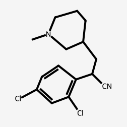 CN1CCCC(CC(C#N)c2ccc(Cl)cc2Cl)C1